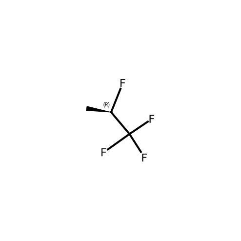 C[C@@H](F)C(F)(F)F